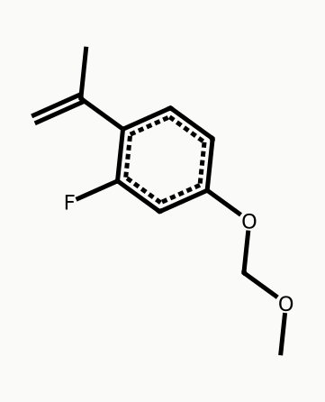 C=C(C)c1ccc(OCOC)cc1F